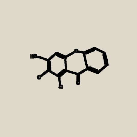 O=c1c2ccccc2oc2cc(O)c(Cl)c(Cl)c12